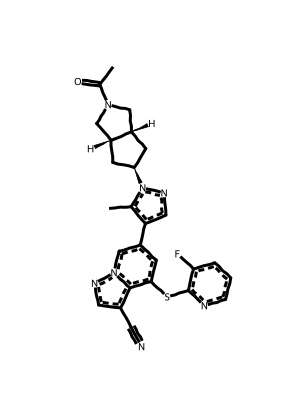 CC(=O)N1C[C@H]2C[C@H](n3ncc(-c4cc(Sc5ncccc5F)c5c(C#N)cnn5c4)c3C)C[C@H]2C1